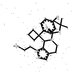 CC(C)(C)OC(=O)N1CCc2cnn(CCN)c2C1C1(c2ccc(Cl)cc2)CCC1